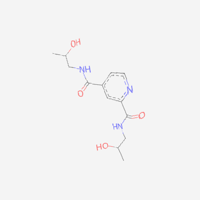 CC(O)CNC(=O)c1ccnc(C(=O)NCC(C)O)c1